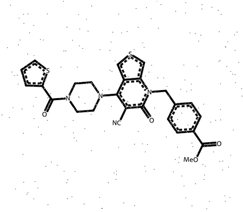 COC(=O)c1ccc(Cn2c(=O)c(C#N)c(N3CCN(C(=O)c4cccs4)CC3)c3cscc32)cc1